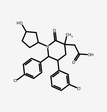 CC1(CC(=O)O)CC(c2cccc(Cl)c2)C(c2ccc(Cl)cc2)N(C2CCC(O)C2)C1=O